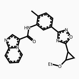 CCOC1CC1c1nc(-c2ccc(C)c(NC(=O)c3cnc4ccccn34)c2)no1